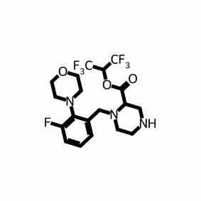 O=C(OC(C(F)(F)F)C(F)(F)F)C1CNCCN1Cc1cccc(F)c1N1CCOCC1